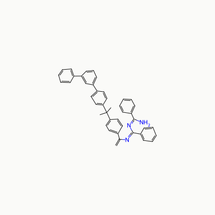 C=C(/N=C(\N=C(/N)c1ccccc1)c1ccccc1)c1ccc(C(C)(C)c2ccc(-c3cccc(-c4ccccc4)c3)cc2)cc1